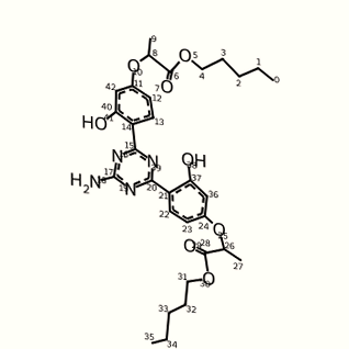 CCCCCOC(=O)C(C)Oc1ccc(-c2nc(N)nc(-c3ccc(OC(C)C(=O)OCCCCC)cc3O)n2)c(O)c1